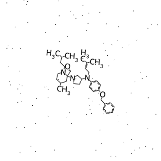 CC(C)=CCN(c1ccc(OCc2ccccc2)cc1)C1CCN(C2(C=O)CC(C)CCN2CCC(C)C)C1